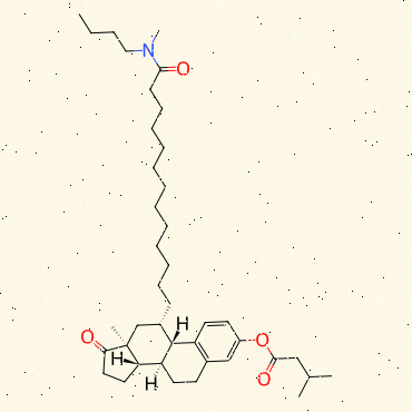 CCCCN(C)C(=O)CCCCCCCCCCCC[C@H]1C[C@]2(C)C(=O)CC[C@H]2[C@@H]2CCc3cc(OC(=O)CC(C)C)ccc3[C@@H]12